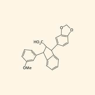 COc1cccc(C2c3ccccc3C(c3ccc4c(c3)OCO4)C2C(=O)O)c1